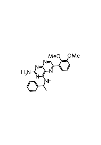 COc1cccc(-c2cnc3nc(N)nc(NC(C)c4ccccc4)c3n2)c1OC